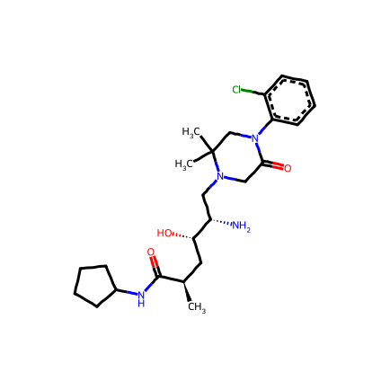 C[C@H](C[C@H](O)[C@@H](N)CN1CC(=O)N(c2ccccc2Cl)CC1(C)C)C(=O)NC1CCCC1